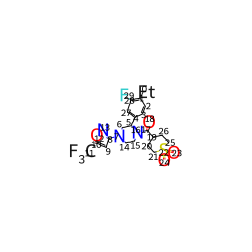 CCc1ccc(C2CN(c3cc(C(F)(F)F)on3)CCN2C(=O)C2CCS(=O)(=O)CC2)cc1F